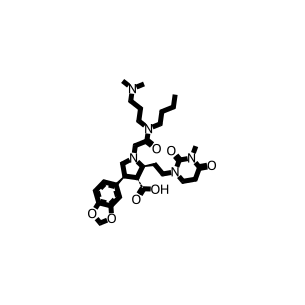 CCCCN(CCCN(C)C)C(=O)CN1C[C@H](c2ccc3c(c2)OCO3)[C@@H](C(=O)O)[C@@H]1CCN1CCC(=O)N(C)C1=O